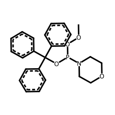 COOP(OC(c1ccccc1)(c1ccccc1)c1ccccc1)N1CCOCC1